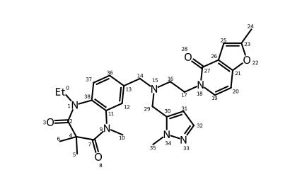 CCN1C(=O)C(C)(C)C(=O)N(C)c2cc(CN(CCn3ccc4oc(C)cc4c3=O)Cc3ccnn3C)ccc21